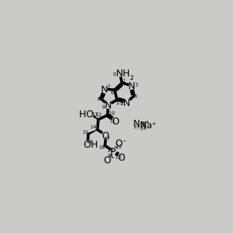 Nc1ncnc2c1ncn2C(=O)[C@H](O)[C@H](CO)OCP(=O)([O-])[O-].[Na+].[Na+]